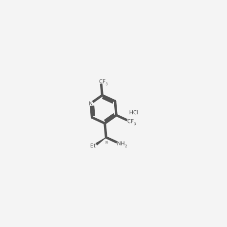 CC[C@H](N)c1cnc(C(F)(F)F)cc1C(F)(F)F.Cl